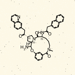 CN1CCC[C@H](NC(=O)Cc2ccc3ccccc3c2)C(=O)N2C[C@@H](C(=O)Cc3ccc4cccnc4c3)C[C@H]2C(N)Oc2cccc(c2)C1=O